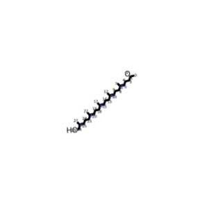 CC(=O)CC/C=C(\C)CC/C=C(\C)CC/C=C(\C)CC/C=C(\C)CC/C=C(\C)CO